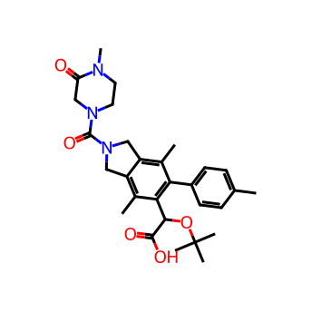 Cc1ccc(-c2c(C)c3c(c(C)c2C(OC(C)(C)C)C(=O)O)CN(C(=O)N2CCN(C)C(=O)C2)C3)cc1